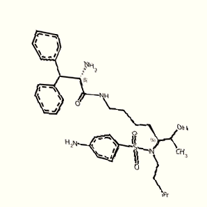 CC(C)CCN([C@@H](CCCCNC(=O)[C@@H](N)C(c1ccccc1)c1ccccc1)C(C)O)S(=O)(=O)c1ccc(N)cc1